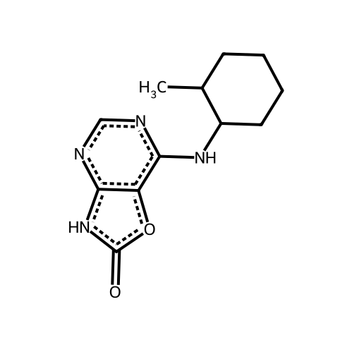 CC1CCCCC1Nc1ncnc2[nH]c(=O)oc12